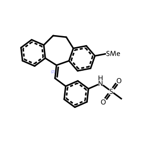 CSc1ccc2c(c1)CCc1ccccc1/C2=C/c1cccc(NS(C)(=O)=O)c1